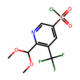 COC(OC)c1ncc(S(=O)(=O)Cl)cc1C(F)(F)F